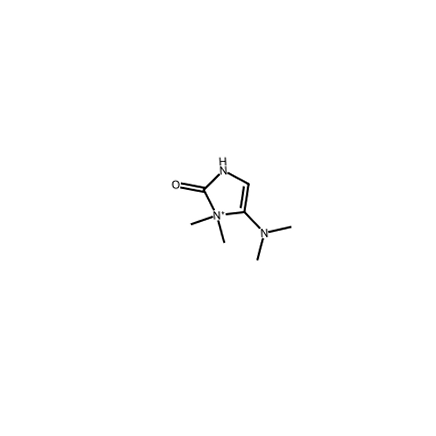 CN(C)C1=CNC(=O)[N+]1(C)C